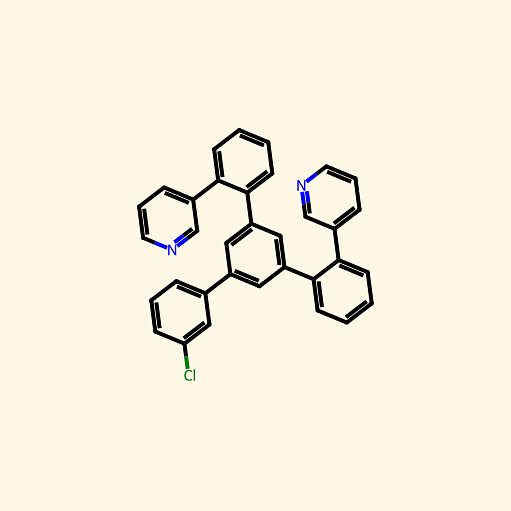 Clc1cccc(-c2cc(-c3ccccc3-c3cccnc3)cc(-c3ccccc3-c3cccnc3)c2)c1